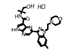 Cc1ccc2c(-c3cnc4[nH]cc(C(=O)NC(C)(C)CO)c4n3)nn(CCN3CCOCC3)c2c1.Cl